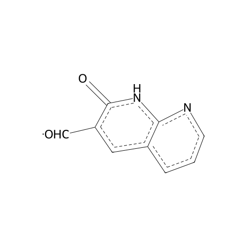 O=[C]c1cc2cccnc2[nH]c1=O